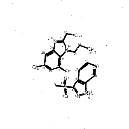 CS(=O)(=O)c1n[nH]c2cnccc12.Fc1cc(Cl)cc2nc(CCl)n(CCC(F)(F)F)c12